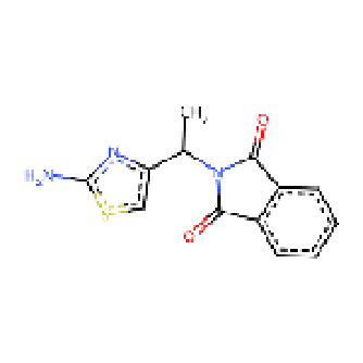 CC(c1csc(N)n1)N1C(=O)c2ccccc2C1=O